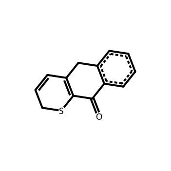 O=C1C2=C(C=CCS2)Cc2ccccc21